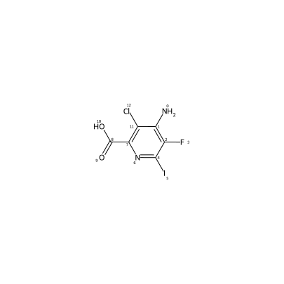 Nc1c(F)c(I)nc(C(=O)O)c1Cl